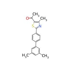 CC(=O)c1sc(-c2ccc(-c3cc(C)cc(C)c3)cc2)nc1C